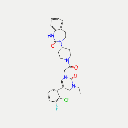 CCN1CC(c2cccc(F)c2Cl)=CN(CC(=O)N2CCC(N3CCc4ccccc4NC3=O)CC2)C1=O